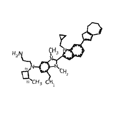 CCc1cc(N(CCN)[C@@H]2CC[C@@H]2C)cc2c1N(C)C(c1cc3ccc(C4=CC5=C(CCCC=C5)C4)cc3n1CC1CC1)N2C